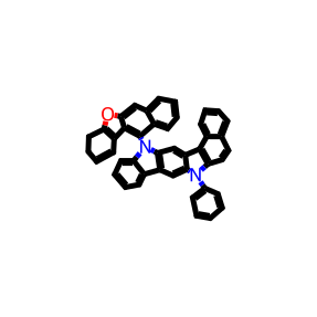 C1=Cc2c(oc3cc4ccccc4c(-n4c5ccccc5c5cc6c(cc54)c4c5ccccc5ccc4n6-c4ccccc4)c23)CC1